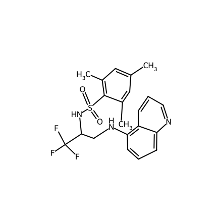 Cc1cc(C)c(S(=O)(=O)NC(CNc2cccc3ncccc23)C(F)(F)F)c(C)c1